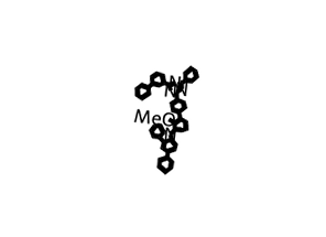 COc1c(-c2ccc(-c3nc(-c4ccccc4)nc(-c4cccc(-c5ccccc5)c4)n3)cc2)cccc1-n1c2ccccc2c2cc(-c3ccccc3)ccc21